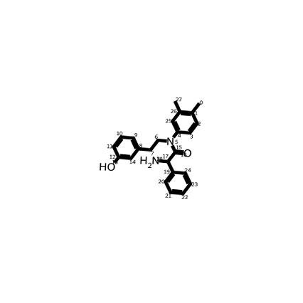 Cc1ccc(N(CCc2cccc(O)c2)C(=O)C(N)c2ccccc2)cc1C